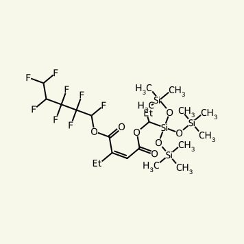 CCC(=CC(=O)OC(CC)[Si](O[Si](C)(C)C)(O[Si](C)(C)C)O[Si](C)(C)C)C(=O)OC(F)C(F)(F)C(F)(F)C(F)C(F)F